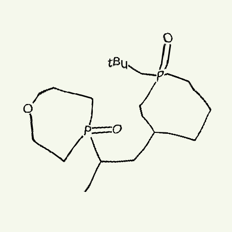 CC(CC1CCCP(=O)(C(C)(C)C)C1)P1(=O)CCOCC1